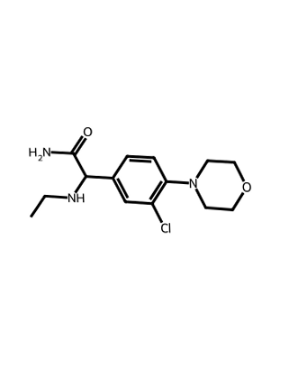 CCNC(C(N)=O)c1ccc(N2CCOCC2)c(Cl)c1